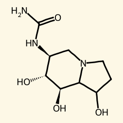 NC(=O)N[C@H]1CN2CCC(O)C2[C@@H](O)[C@@H]1O